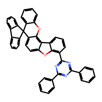 c1ccc(-c2nc(-c3ccccc3)nc(-c3cccc4c3oc3ccc5c(c34)Oc3ccccc3C53c4ccccc4-c4ccccc43)n2)cc1